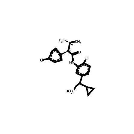 C[C@H]([C@@H](C(=O)Nc1cc(C(CC(=O)O)C2CC2)ccc1Cl)c1ccc(Cl)cc1)C(F)(F)F